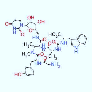 C[C@H](NC(=O)N[C@@H](Cc1c[nH]c2ccccc12)C(=O)O)C(=O)N[C@H](C(=O)N/C=C1\OC(n2ccc(=O)[nH]c2=O)[C@H](O)[C@@H]1O)[C@H](C)N(C)C(=O)[C@H](Cc1cccc(O)c1)NC(=O)CN